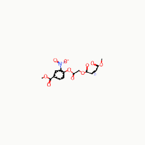 COC(=O)/C=C\C(=O)OCC(=O)Oc1ccc(C(=O)OC)cc1[N+](=O)[O-]